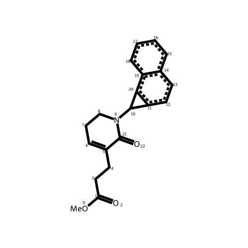 COC(=O)CCC1=CCCN(C2c3ccc4ccccc4c32)C1=O